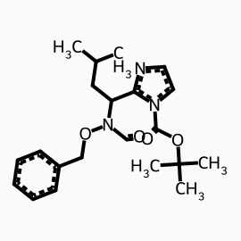 CC(C)CC(c1nccn1C(=O)OC(C)(C)C)N(C=O)OCc1ccccc1